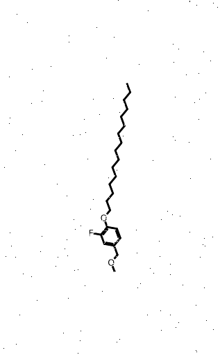 CCCCCCCCCCCCCCCCOc1ccc(COC)cc1F